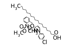 CCCCCCCCCCCCCCCCCC(=O)O.COC(=O)N(OC)c1ccccc1COc1ccn(-c2ccc(Cl)cc2)n1